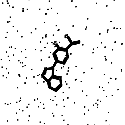 O=C(Cl)c1ncc(-n2nnc3cccnc32)cc1F